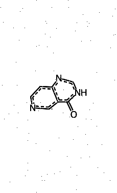 O=c1[nH]cnc2ccn[c]c12